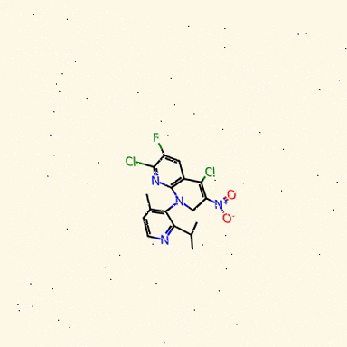 Cc1ccnc(C(C)C)c1N1CC([N+](=O)[O-])=C(Cl)c2cc(F)c(Cl)nc21